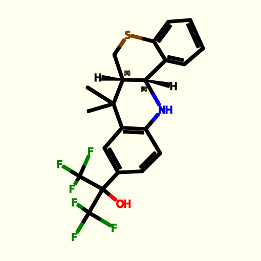 CC1(C)c2cc(C(O)(C(F)(F)F)C(F)(F)F)ccc2N[C@H]2c3ccccc3SC[C@H]21